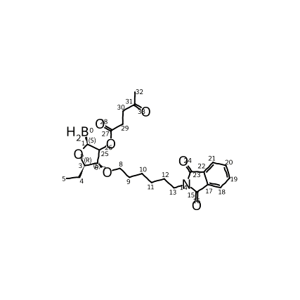 B[C@@H]1O[C@H](CC)[C@H](OCCCCCCN2C(=O)c3ccccc3C2=O)C1OC(=O)CCC(C)=O